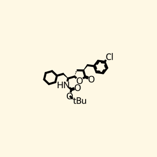 CC(C)(C)OC(=O)N[C@@H](CC1CCCCC1)[C@@H]1C[C@@H](Cc2cccc(Cl)c2)C(=O)O1